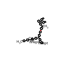 CCCCCCCC1(CCCCCCC)c2ccccc2-c2ccc(N(c3ccc(-c4ccc(-c5ccc(N(C)c6ccc7c(c6)C(c6ccc8c(c6)CC8)(c6ccc8c(c6)CC8)c6ccccc6-7)cc5)cc4)cc3)c3ccc(-c4ccc(C(C)(c5ccc(-c6ccc(C)cc6)cc5)C(C)C)cc4)cc3)cc21